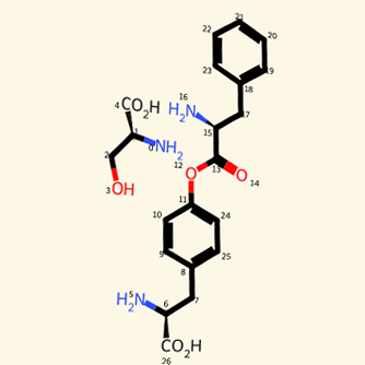 N[C@@H](CO)C(=O)O.N[C@@H](Cc1ccc(OC(=O)[C@@H](N)Cc2ccccc2)cc1)C(=O)O